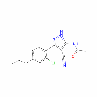 CCCc1ccc(-c2n[nH]c(NC(C)=O)c2C#N)c(Cl)c1